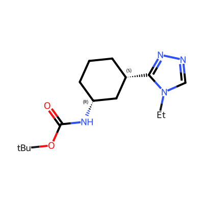 CCn1cnnc1[C@H]1CCC[C@@H](NC(=O)OC(C)(C)C)C1